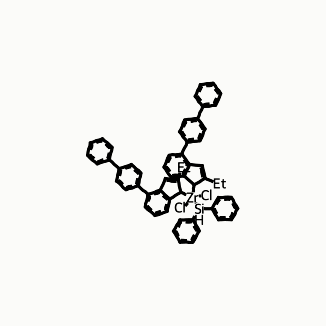 CCC1=Cc2c(-c3ccc(-c4ccccc4)cc3)cccc2[CH]1[Zr]([Cl])([Cl])([CH]1C(CC)=Cc2c(-c3ccc(-c4ccccc4)cc3)cccc21)[SiH](c1ccccc1)c1ccccc1